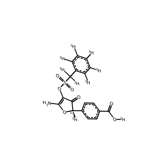 [2H]OC(=O)c1ccc([C@]2([2H])OC(N)=C(OS(=O)(=O)C([2H])([2H])c3c([2H])c([2H])c([2H])c([2H])c3[2H])C2=O)cc1